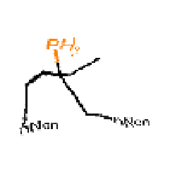 CCCCCCCCCCC(C)(P)CCCCCCCCCC